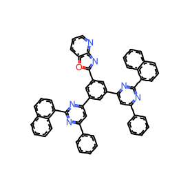 c1ccc(-c2cc(-c3cc(-c4cc(-c5ccccc5)nc(-c5cccc6ccccc56)n4)cc(-c4nc5ncccc5o4)c3)nc(-c3cccc4ccccc34)n2)cc1